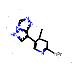 CCCC1=NC=C(c2c[nH]n3cnnc23)C(C)C1